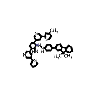 Cc1ccnc(-c2cncc(C3=CC=C(c4cncc(-c5ccccn5)c4)C(=N)/C3=N\Nc3ccc(-c4ccc5c(c4)C(C)(C)c4ccccc4-5)cc3)c2)c1